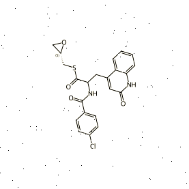 O=C(NC(Cc1cc(=O)[nH]c2ccccc12)C(=O)SC[C@@H]1CO1)c1ccc(Cl)cc1